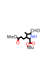 COC(=O)CCC1C(C(=O)OC(C)(C)C)NC(C=O)C1C